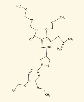 C=C(C)Cc1cc(-c2csc(-c3ccc(OCC)c(OCC)c3)n2)cc(C(=O)OCOCOC)c1OCOC